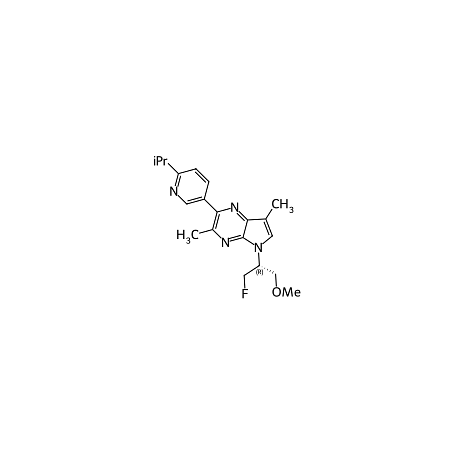 COC[C@H](CF)n1cc(C)c2nc(-c3ccc(C(C)C)nc3)c(C)nc21